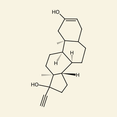 C#CC1(O)CC[C@H]2[C@@H]3CCC4CC=C(O)C[C@]4(C)[C@@H]3CC[C@@]21C